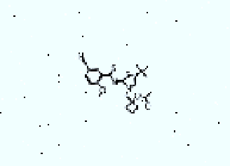 COc1ccc(C#N)cc1C(=S)N=c1sc(C(C)(C)C)cn1CC1(OC(C)=O)CCC1